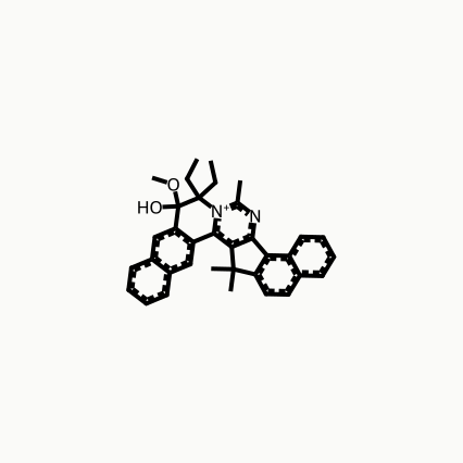 CCC1(CC)[n+]2c(C)nc3c(c2-c2cc4ccccc4cc2C1(O)OC)C(C)(C)c1ccc2ccccc2c1-3